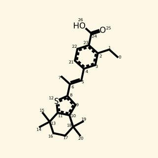 CCc1cc(/C=C(\C)c2cc3c(s2)C(C)(C)CCC3(C)C)ccc1C(=O)O